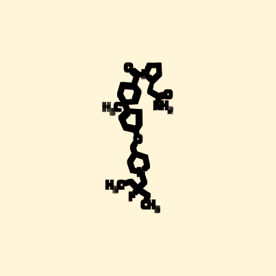 CCC(F)(CC)CN1CCC(COc2ccc([C@]3(C)C=CC(C(=O)N4CCC[C@H]4CC(N)=O)=CC3)cc2)CC1